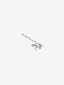 CCCCCCCCCCC(CNCC)C(=O)OCC